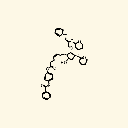 O=C(CC/C=C\CC[C@@H]1[C@H](OCC(COc2ccccc2)OC2CCCCO2)[C@@H](OC2CCCCO2)C[C@H]1O)Oc1ccc(NC(=O)c2ccccc2)cc1